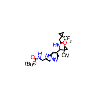 CC(C)(C)OC(=O)NCc1cn2ncc(C(NC(=O)CC3(C(F)(F)F)CC3)C3(C#N)CC3)cc2n1